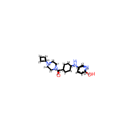 O=C(C1CCC(Nc2ccc(O)nc2)CC1)N1CCN(C2CCC2)CC1